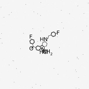 Cl.Nn1c2c(c3cc(C(=O)c4ccc(F)cc4)ccc31)CC(NCCc1ccc(F)cc1)CC2